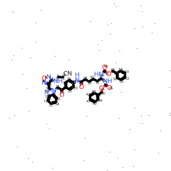 N#CCCNc1nonc1-c1nc2ccccc2n1CC(=O)c1ccc(NC(=O)CCCCC(NC(=O)OCc2ccccc2)NC(=O)OCc2ccccc2)cc1